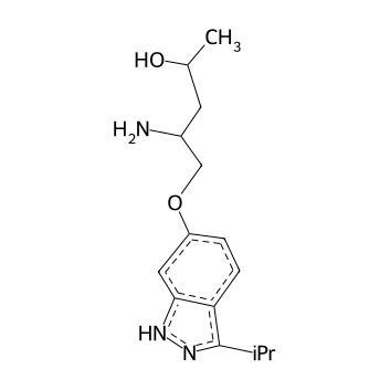 CC(O)CC(N)COc1ccc2c(C(C)C)n[nH]c2c1